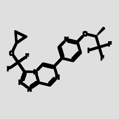 C[C@@H](Oc1ccc(-c2cn3c(C(F)(F)OC4CC4)nnc3cn2)cn1)C(F)(F)I